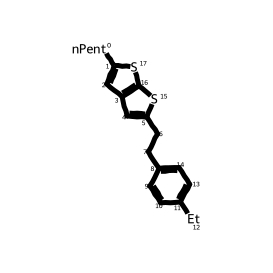 CCCCCc1cc2cc(CCc3ccc(CC)cc3)sc2s1